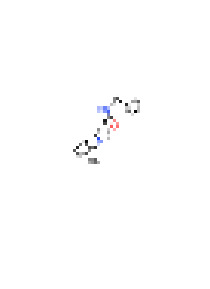 CC(=O)c1ccccc1CN1CCC2(CC1)CC(N[C@@H]1C[C@H]1c1ccccc1)CO2